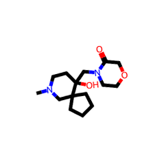 CN1CCC(O)(CN2CCOCC2=O)C2(CCCC2)C1